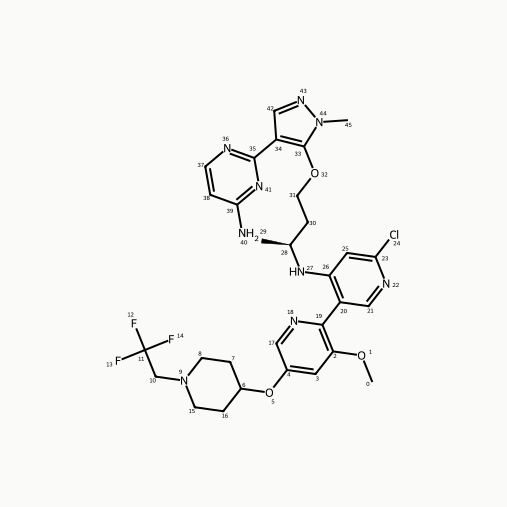 COc1cc(OC2CCN(CC(F)(F)F)CC2)cnc1-c1cnc(Cl)cc1N[C@@H](C)CCOc1c(-c2nccc(N)n2)cnn1C